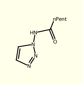 CCCCCC(=O)Nn1ccnn1